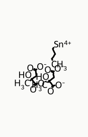 CC(O)(CC(=O)[O-])C(=O)[O-].CC(O)(CC(=O)[O-])C(=O)[O-].CCC[CH2][Sn+4]